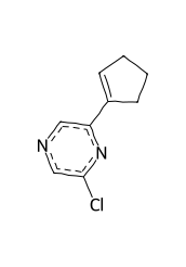 Clc1cncc(C2=CCCC2)n1